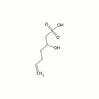 C=CCCC(O)CS(=O)(=O)O